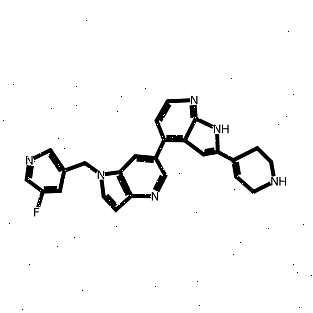 Fc1cncc(Cn2ccc3ncc(-c4ccnc5[nH]c(C6=CCNCC6)cc45)cc32)c1